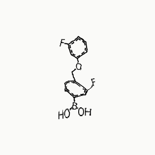 OB(O)c1ccc(COc2cccc(F)c2)c(F)c1